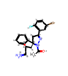 CC(=O)N1N=C(c2cc(Br)ccc2F)C[C@@]1(C[C@H](F)CN)c1ccccc1